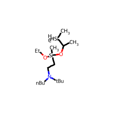 CCCCN(CC[Si](C)(OCC)OC(C)[SiH](C)C)C(C)(C)C